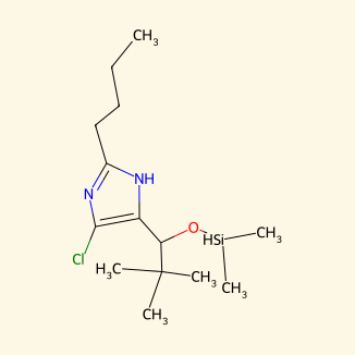 CCCCc1nc(Cl)c(C(O[SiH](C)C)C(C)(C)C)[nH]1